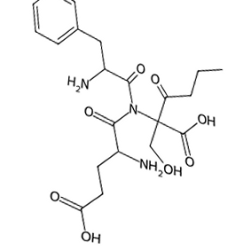 CCCC(=O)C(CO)(C(=O)O)N(C(=O)C(N)CCC(=O)O)C(=O)C(N)Cc1ccccc1